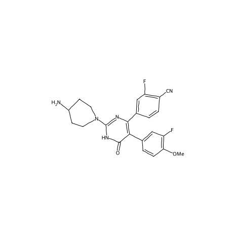 COc1ccc(-c2c(-c3ccc(C#N)c(F)c3)nc(N3CCC(N)CC3)[nH]c2=O)cc1F